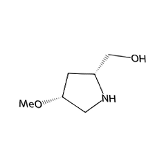 CO[C@H]1CN[C@@H](CO)C1